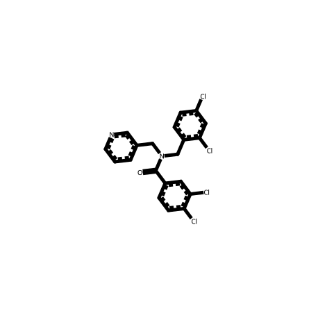 O=C(c1ccc(Cl)c(Cl)c1)N(Cc1cccnc1)Cc1ccc(Cl)cc1Cl